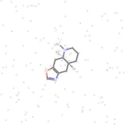 CCCN1CCC[C@@H]2Cc3ncoc3C[C@H]21